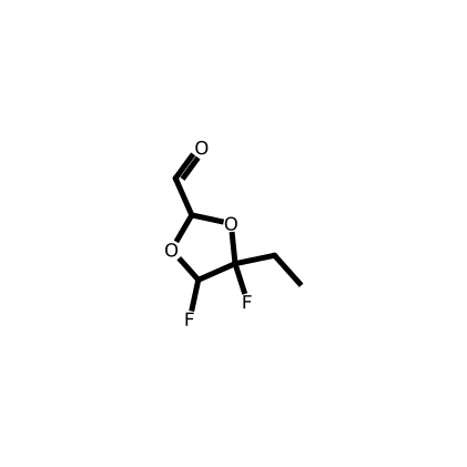 CCC1(F)OC(C=O)OC1F